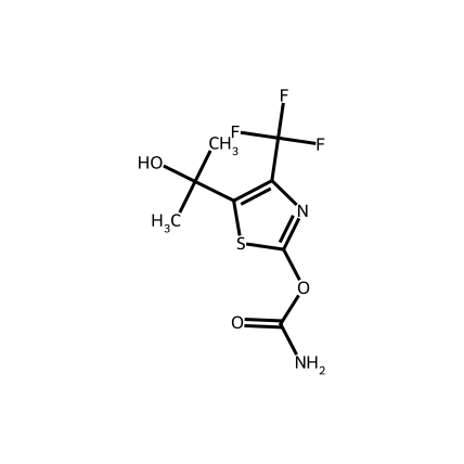 CC(C)(O)c1sc(OC(N)=O)nc1C(F)(F)F